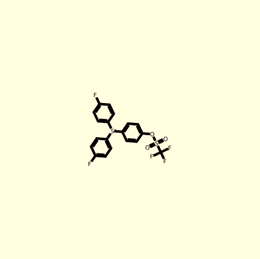 O=S(=O)(Oc1ccc([S+](c2ccc(F)cc2)c2ccc(F)cc2)cc1)C(F)(F)F